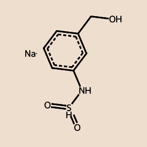 O=[SH](=O)Nc1cccc(CO)c1.[Na]